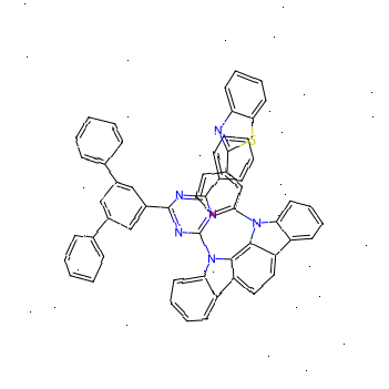 c1ccc(-c2cc(-c3ccccc3)cc(-c3nc(-c4ccccc4)nc(-n4c5ccccc5c5ccc6c7ccccc7n(-c7cccc(-c8nc9ccccc9s8)c7)c6c54)n3)c2)cc1